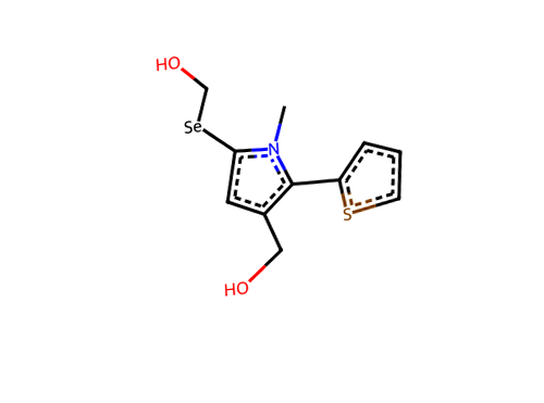 Cn1c([Se]CO)cc(CO)c1-c1cccs1